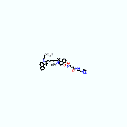 CCC[N+]1=C(/C=C/C=C/C=C2/N(CCCS(=O)(=O)O)c3ccc4ccccc4c3C2(C)C)C(C)(C)c2c1ccc1c(S(=O)(=O)N(C)CCCC(=O)NCCCn3ccnn3)cccc21